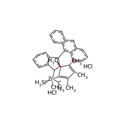 CC1=C(C)C(C)[C]([Zr]([CH3])([CH3])(=[SiH2])[CH]2C=C(c3c4ccccc4cc4ccccc34)c3ccccc32)=C1C.Cl.Cl